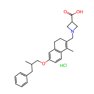 CC1=C(CN2CC(C(=O)O)C2)CCc2cc(OCC(C)Cc3ccccc3)ccc21.Cl